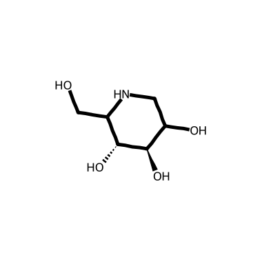 OCC1NCC(O)[C@@H](O)[C@@H]1O